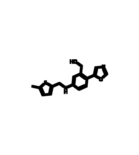 Cc1ccc(CNc2ccc(-c3cnco3)c(CO)c2)s1